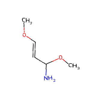 CO/C=C/C(N)OC